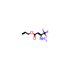 C=CCOC(=O)C=C(N)C(I)(I)I